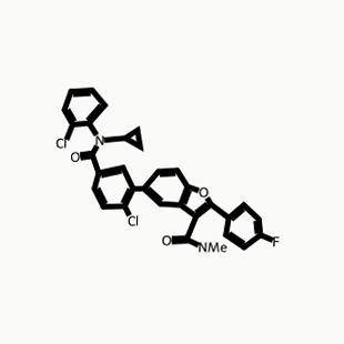 CNC(=O)c1c(-c2ccc(F)cc2)oc2ccc(-c3cc(C(=O)N(c4ccccc4Cl)C4CC4)ccc3Cl)cc12